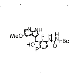 CCCCNC(=O)Nc1ccc(F)c(C(O)c2c[nH]c3ncc(OC)cc23)c1F